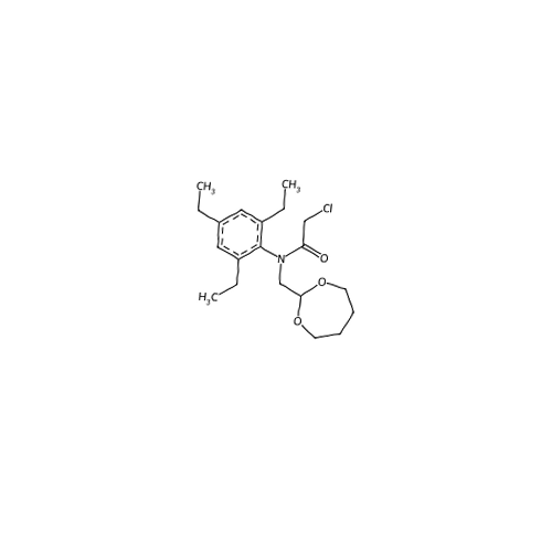 CCc1cc(CC)c(N(CC2OCCCCO2)C(=O)CCl)c(CC)c1